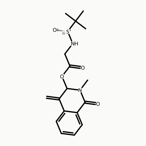 C=C1c2ccccc2C(=O)N(C)C1OC(=O)CN[S@+]([O-])C(C)(C)C